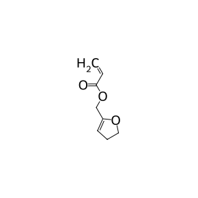 C=CC(=O)OCC1=CCCO1